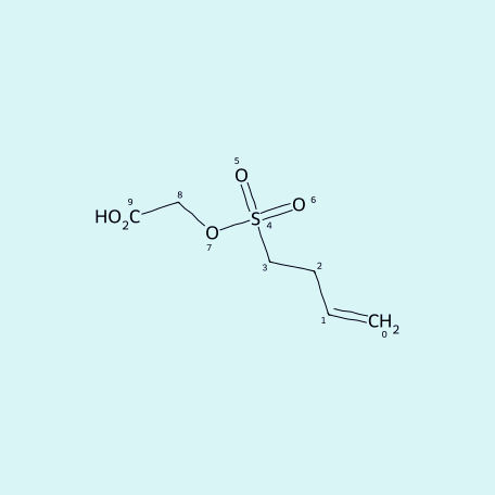 C=CCCS(=O)(=O)OCC(=O)O